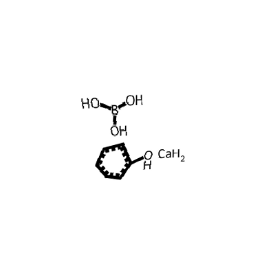 OB(O)O.Oc1ccccc1.[CaH2]